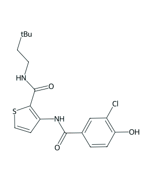 CC(C)(C)CCNC(=O)c1sccc1NC(=O)c1ccc(O)c(Cl)c1